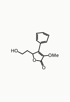 COC1=C(c2ccccc2)C(CCO)OC1=O